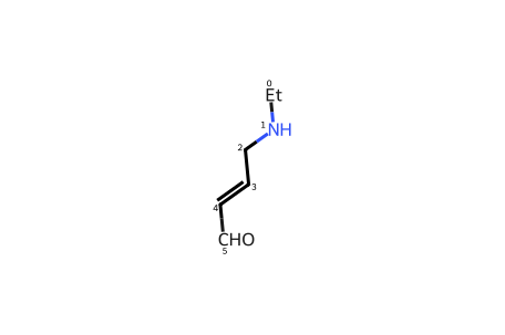 CCNCC=CC=O